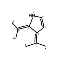 CC(C)=c1cc[nH]c1=C(C)C